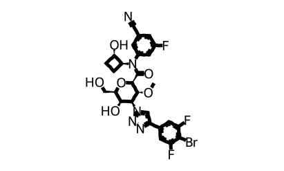 CO[C@@H]1[C@@H](n2cc(-c3cc(F)c(Br)c(F)c3)nn2)[C@@H](O)[C@@H](CO)O[C@H]1C(=O)N(c1cc(F)cc(C#N)c1)[C@H]1CC[C@@H]1O